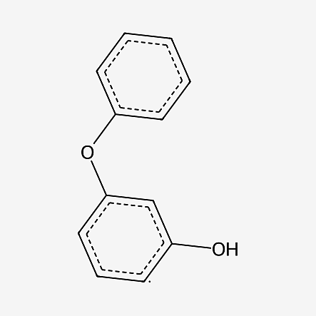 Oc1[c]ccc(Oc2ccccc2)c1